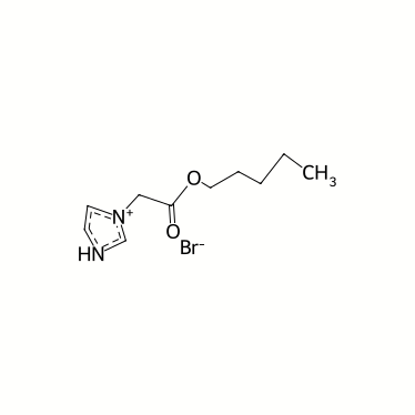 CCCCCOC(=O)C[n+]1cc[nH]c1.[Br-]